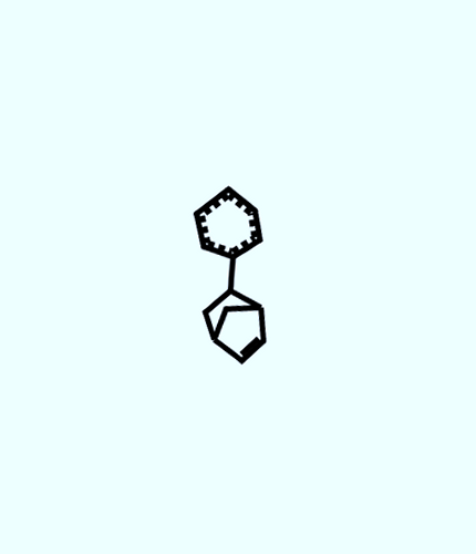 [C]1=CC2CC1CC2c1ccccc1